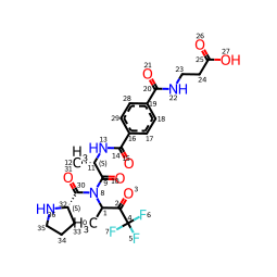 CC(C(=O)C(F)(F)F)N(C(=O)[C@H](C)NC(=O)c1ccc(C(=O)NCCC(=O)O)cc1)C(=O)[C@@H]1CCCN1